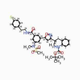 C[C@H](Cc1ccccc1NC(=O)OC(C)(C)C)c1cc(-c2cc(C(=O)NCCc3ccc(F)cc3)cc(N(C)S(C)(=O)=O)c2)on1